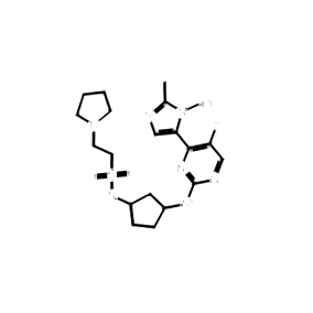 Cc1ncc(-c2nc(NC3CCC(NS(=O)(=O)CCN4CCCC4)C3)ncc2F)n1C(C)C